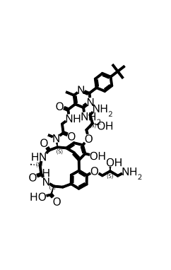 Cc1nc(-c2ccc(C(C)(C)C)cc2)nc(N)c1C(=O)NCC(=O)N(C)[C@@H]1C(=O)N[C@@H](C)C(=O)N[C@H](C(=O)O)Cc2ccc(OC[C@@H](O)CN)c(c2)-c2cc1cc(OC[C@@H](O)CN)c2O